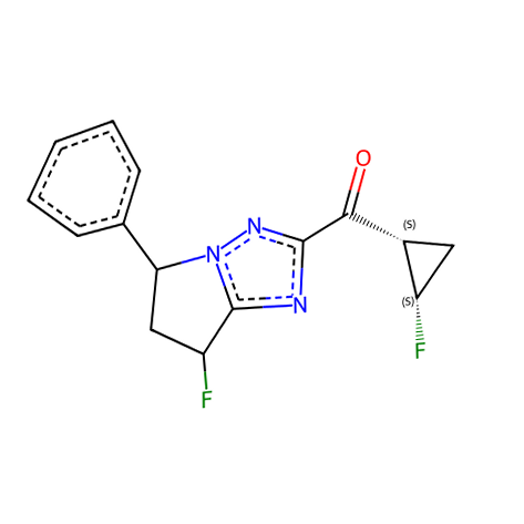 O=C(c1nc2n(n1)C(c1ccccc1)CC2F)[C@@H]1C[C@@H]1F